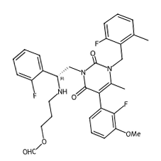 COc1cccc(-c2c(C)n(Cc3c(C)cccc3F)c(=O)n(C[C@H](NCCCOC=O)c3ccccc3F)c2=O)c1F